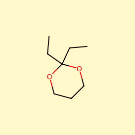 CCC1(CC)OCCCO1